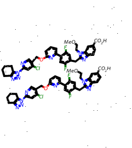 COCCn1c(Cc2cc(F)c(-c3cccc(OCc4cnc(-n5nnc6c5CCCC6)cc4Cl)n3)cc2F)nc2ccc(C(=O)O)cc21.COCCn1c(Cc2cc(F)c(-c3cccc(OCc4cnc(-n5nnc6c5CCCC6)cc4Cl)n3)cc2F)nc2ccc(C(=O)O)cc21